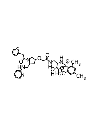 Cc1cc(C)c(S(=O)(=O)NC(CNC(=O)COC2CC(CNc3ccccn3)N(C(=O)Cc3cccs3)C2)C(=O)O)c(C)c1